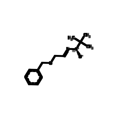 CC(C)(C)[S@@+]([O-])N=CCOCc1ccccc1